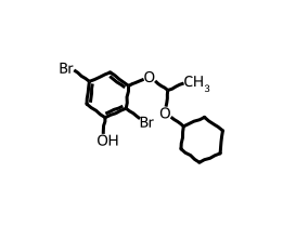 CC(Oc1cc(Br)cc(O)c1Br)OC1CCCCC1